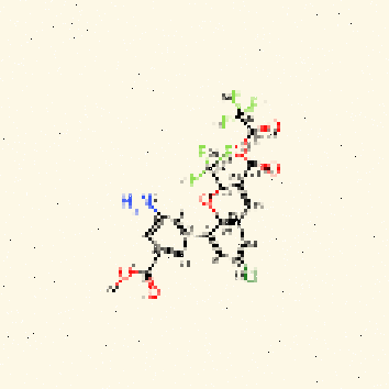 COC(=O)c1cc(N)cc(-c2cc(Cl)cc3c2OC(C(F)(F)F)C(C(=O)OC(=O)C(F)(F)F)=C3)c1